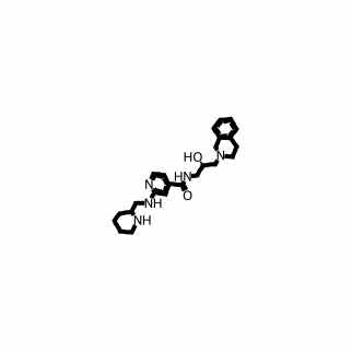 O=C(NC[C@H](O)CN1CCc2ccccc2C1)c1ccnc(NCC2CCCCN2)c1